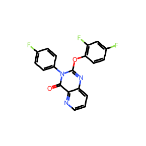 O=c1c2ncccc2nc(Oc2ccc(F)cc2F)n1-c1ccc(F)cc1